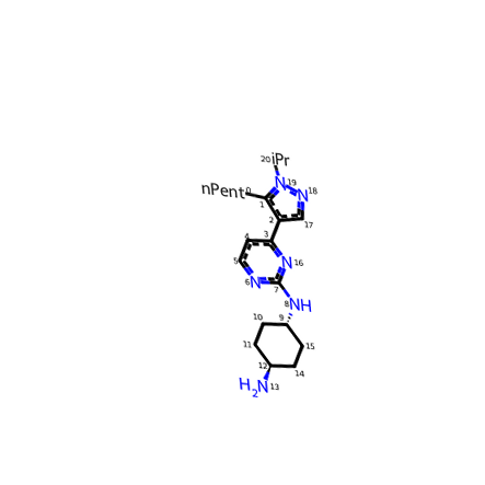 CCCCCc1c(-c2ccnc(N[C@H]3CC[C@H](N)CC3)n2)cnn1C(C)C